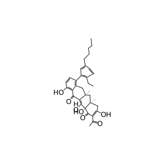 CCCCCc1ccc(CC)c(-c2ccc(O)c3c2C[C@@]2(C)C[C@@]4(C)CC(O)=C(C(C)=O)C(=O)[C@@]4(O)C(O)=C2C3=O)c1